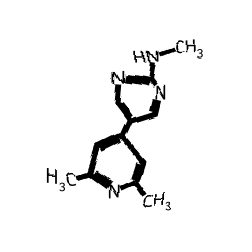 CNc1ncc(-c2cc(C)nc(C)c2)cn1